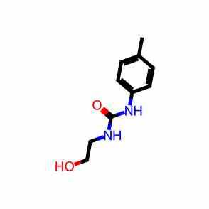 Cc1ccc(NC(=O)NCCO)cc1